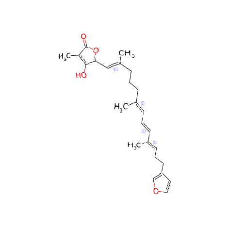 CC1=C(O)C(/C=C(\C)CCC/C(C)=C/C=C/C(C)=C/CCc2ccoc2)OC1=O